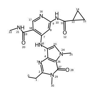 CCc1nc2c(Nc3cc(NC(=O)C4CC4)ncc3C(=O)NC)cn(C)c2c(=O)n1C